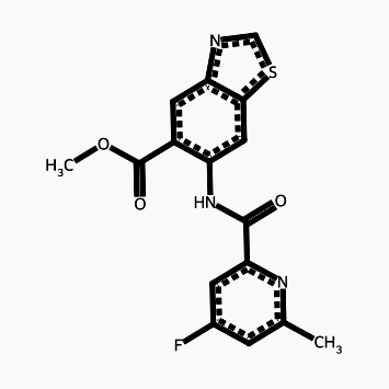 COC(=O)c1cc2ncsc2cc1NC(=O)c1cc(F)cc(C)n1